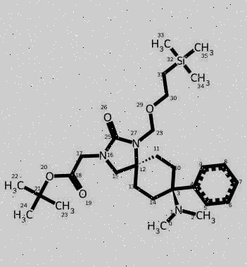 CN(C)[C@]1(c2ccccc2)CC[C@]2(CC1)CN(CC(=O)OC(C)(C)C)C(=O)N2COCC[Si](C)(C)C